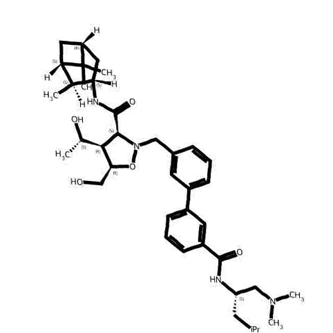 CC(C)C[C@@H](CN(C)C)NC(=O)c1cccc(-c2cccc(CN3O[C@@H](CO)[C@@H]([C@H](C)O)[C@H]3C(=O)N[C@H]3C[C@H]4C[C@@H]([C@@H]3C)C4(C)C)c2)c1